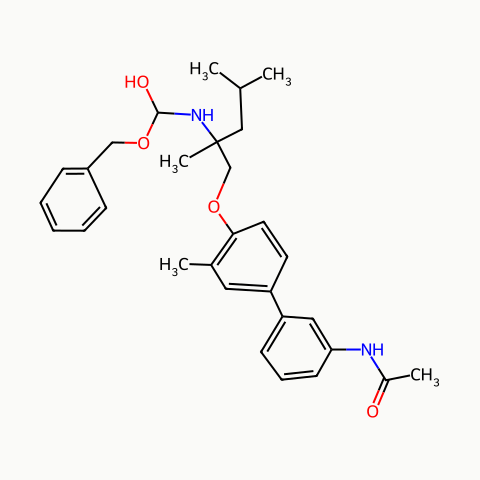 CC(=O)Nc1cccc(-c2ccc(OCC(C)(CC(C)C)NC(O)OCc3ccccc3)c(C)c2)c1